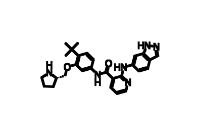 CC(C)(C)c1ccc(NC(=O)c2cccnc2Nc2ccc3cn[nH]c3c2)cc1OC[C@@H]1CCCN1